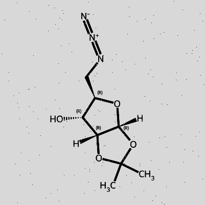 CC1(C)O[C@H]2O[C@H](CN=[N+]=[N-])[C@@H](O)[C@H]2O1